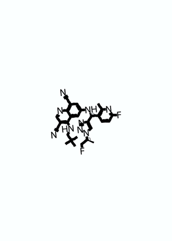 Cc1nc(F)ccc1[C@H](Nc1cc(C#N)c2ncc(C#N)c(NCC(C)(C)C)c2c1)c1cn([C@@H](C)CF)nn1